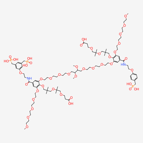 COCCOCCOCCOCCOc1cc(C(=O)NCCOc2ccc(CP(=O)(O)O)cc2)cc(OCCOCCOCCOCC(OC)C(COCCOCCOCCOc2cc(C(=O)NCCOc3cc(CP(=O)(O)O)cc(CP(=O)(O)O)c3)cc(OCCOCCOCCOCCOC)c2OCC(C)(C)COC(C)(C)COCCC(=O)O)OC)c1OCC(C)(C)COC(C)(C)COCCC(=O)O